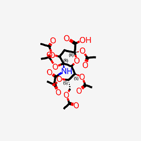 CC(=O)N[C@@]1(OC(C)=O)C(OC(C)=O)C[C@@](OC(C)=O)(C(=O)O)OC1[C@@H](OC(C)=O)[C@H](COC(C)=O)OC(C)=O